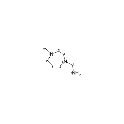 CN1CCCN(CN)CC1